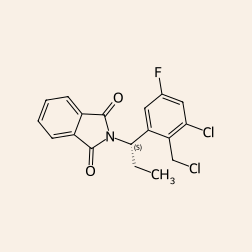 CC[C@@H](c1cc(F)cc(Cl)c1CCl)N1C(=O)c2ccccc2C1=O